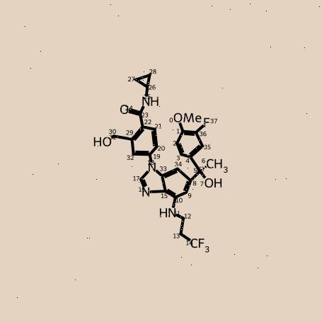 COc1ccc([C@@](C)(O)c2cc(NCCC(F)(F)F)c3ncn(-c4ccc(C(=O)NC5CC5)c(CO)c4)c3c2)cc1F